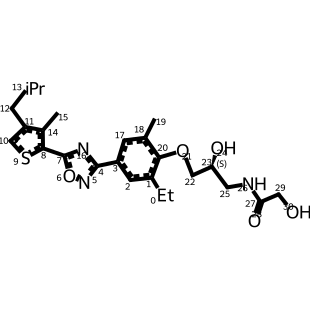 CCc1cc(-c2noc(-c3scc(CC(C)C)c3C)n2)cc(C)c1OC[C@@H](O)CNC(=O)CO